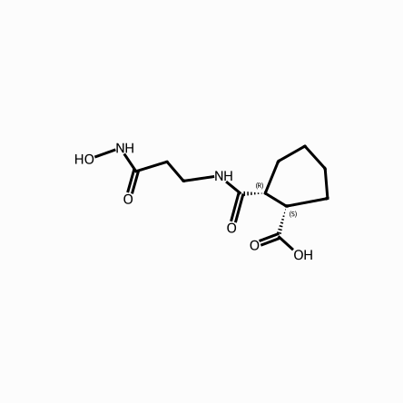 O=C(CCNC(=O)[C@@H]1CCCC[C@@H]1C(=O)O)NO